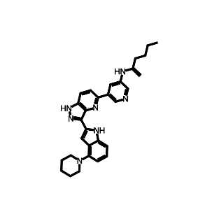 C=C(CCCC)Nc1cncc(-c2ccc3[nH]nc(-c4cc5c(N6CCCCC6)cccc5[nH]4)c3n2)c1